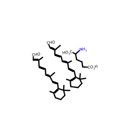 CC1=C(/C=C/C(C)=C/C=C/C(C)=C/C=O)C(C)(C)CCC1.CC1=C(/C=C/C(C)=C/C=C/C(C)=C/C=O)C(C)(C)CCC1.NC(CCCC(=O)O)C(=O)O